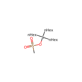 CCCCCC[Si](CCCCCC)(CCCCCC)OS(C)(=O)=O